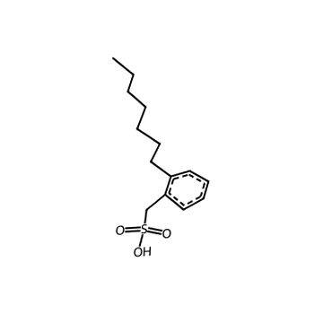 CCCCCCCc1ccccc1CS(=O)(=O)O